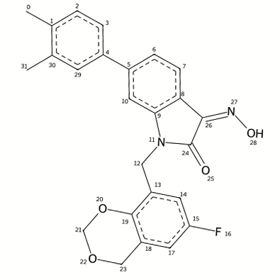 Cc1ccc(-c2ccc3c(c2)N(Cc2cc(F)cc4c2OCOC4)C(=O)/C3=N\O)cc1C